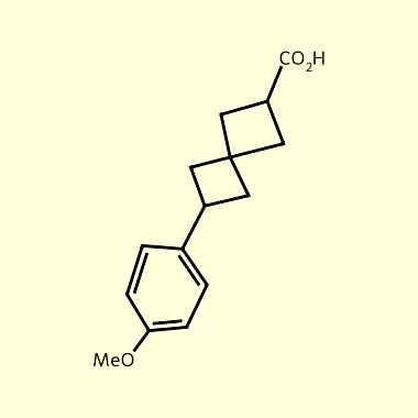 COc1ccc(C2CC3(CC(C(=O)O)C3)C2)cc1